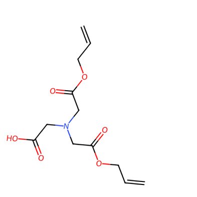 C=CCOC(=O)CN(CC(=O)O)CC(=O)OCC=C